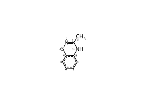 CC1=NSc2ccccc2N1